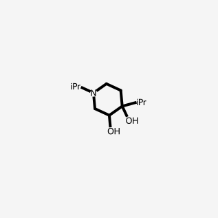 CC(C)N1CCC(O)(C(C)C)C(O)C1